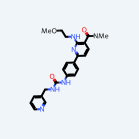 CNC(=O)c1ccc(-c2ccc(NC(=O)NCc3cccnc3)cc2)nc1NCCOC